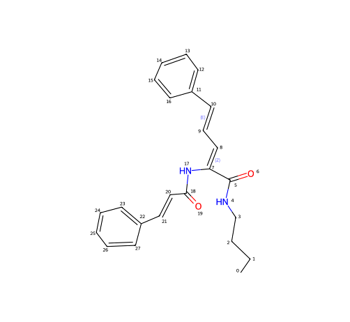 CCCCNC(=O)/C(=C/C=C/c1ccccc1)NC(=O)C=Cc1ccccc1